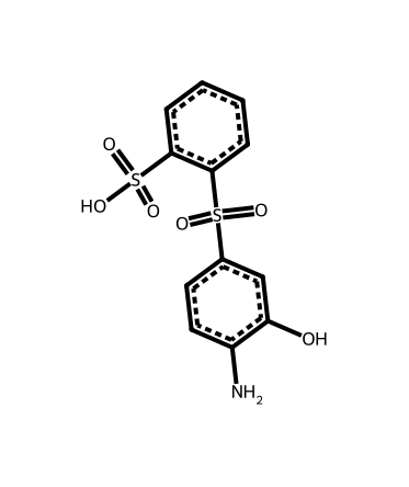 Nc1ccc(S(=O)(=O)c2ccccc2S(=O)(=O)O)cc1O